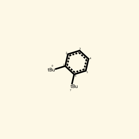 CC(C)(C)c1[c]cccc1C(C)(C)C